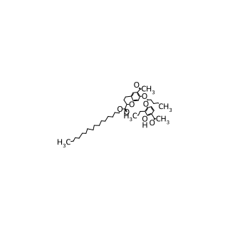 CCCCCCCCCCCCCCCCOC(=O)C1CCc2cc(C(C)=O)c(OC(CCCC)Oc3ccc(C(C)=O)c(O)c3CCC)cc2O1